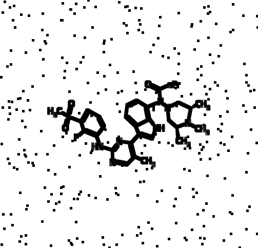 CCCC(=O)N(c1cccc2c(-c3nc(Nc4cccc(S(C)(=O)=O)c4F)ncc3C)c[nH]c12)N1C[C@H](C)N(C)[C@@H](C)C1